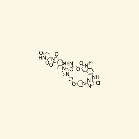 CNC(=O)COc1cc2cc(Nc3nc(N4CCC(OC5CC(N6CCN(c7ccc8c(c7C)C(=O)N(C7CCC(=O)NC7=O)C8=O)C[C@@H]6C)C5)CC4)ncc3Cl)ccc2n(C(C)C)c1=O